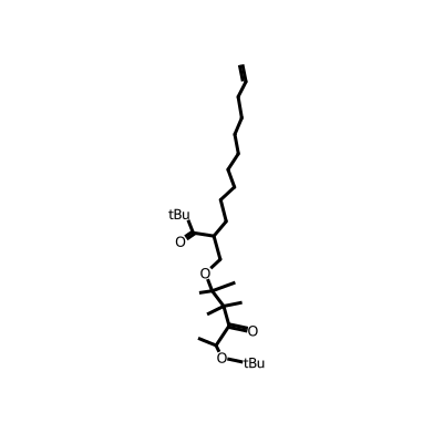 C=CCCCCCCCCC(COC(C)(C)C(C)(C)C(=O)C(C)OC(C)(C)C)C(=O)C(C)(C)C